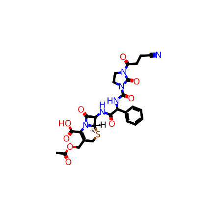 CC(=O)OCC1=C(C(=O)O)N2C(=O)C(NC(=O)C(NC(=O)N3CCN(C(=O)CCC#N)C3=O)c3ccccc3)[C@@H]2SC1